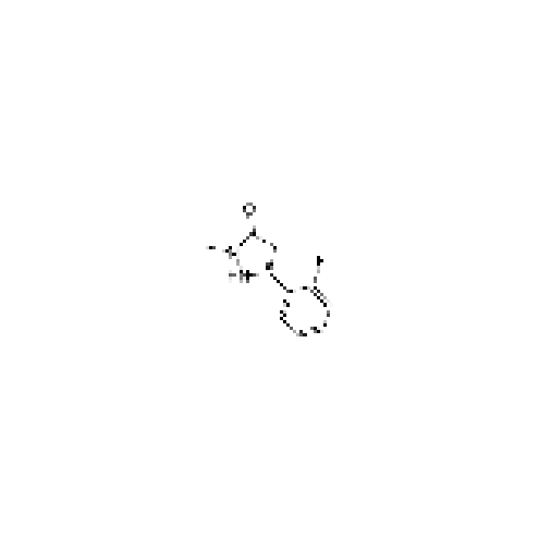 Cn1[nH]c(-c2ccccc2F)cc1=O